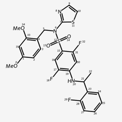 COc1ccc(CN(c2nccs2)S(=O)(=O)c2cc(F)c(NC(C)c3ccccc3F)cc2F)c(OC)c1